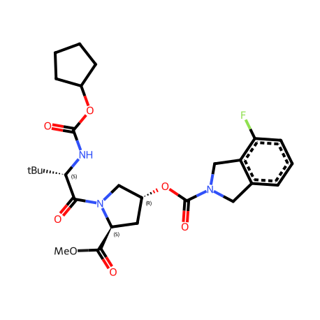 COC(=O)[C@@H]1C[C@@H](OC(=O)N2Cc3cccc(F)c3C2)CN1C(=O)[C@@H](NC(=O)OC1CCCC1)C(C)(C)C